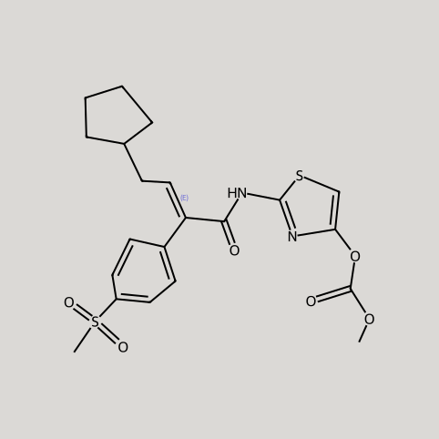 COC(=O)Oc1csc(NC(=O)/C(=C/CC2CCCC2)c2ccc(S(C)(=O)=O)cc2)n1